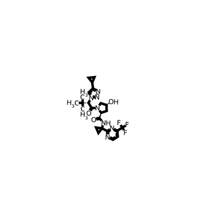 CC(C)(C)[C@@H](C(=O)N1C[C@H](O)C[C@H]1C(=O)NC1(c2nccc(C(F)(F)F)n2)CC1)n1cc(C2CC2)nn1